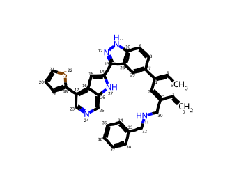 C=C/C(=C\C(=C/C)c1ccc2[nH]nc(-c3cc4c(-c5cccs5)cncc4[nH]3)c2c1)CNCc1ccccc1